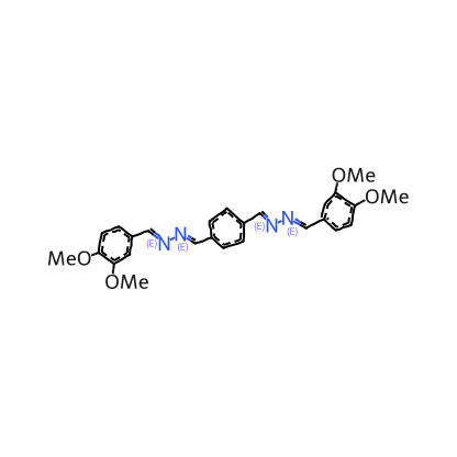 COc1ccc(/C=N/N=C/c2ccc(/C=N/N=C/c3ccc(OC)c(OC)c3)cc2)cc1OC